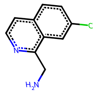 NCc1nccc2ccc(Cl)cc12